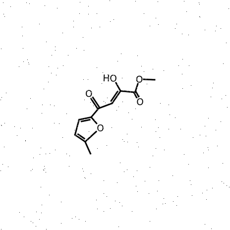 COC(=O)/C(O)=C/C(=O)c1ccc(C)o1